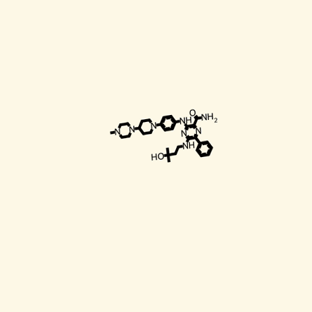 CN1CCN(C2CCN(c3ccc(Nc4nc(NCCC(C)(C)O)c(-c5ccccc5)nc4C(N)=O)cc3)CC2)CC1